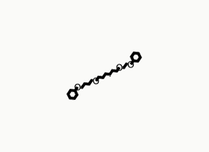 [CH](CCCOCCCCOC1CCCCC1)CCOCCOC1CCCCC1